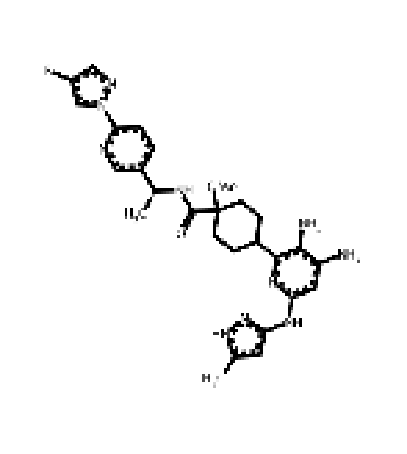 COC1(C(=O)N[C@@H](C)c2ccc(-n3cc(F)cn3)nc2)CCC(c2nc(Nc3cc(C)[nH]n3)cc(N)c2N)CC1